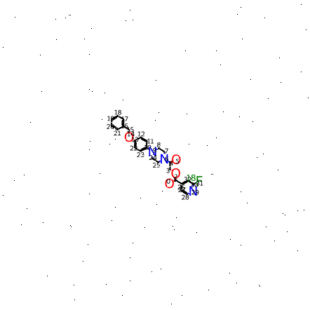 O=C(OCC(=O)N1CCN(c2ccc(OCc3ccccc3)cc2)CC1)c1ccnc([18F])c1